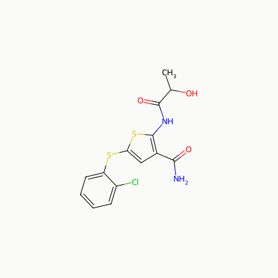 CC(O)C(=O)Nc1sc(Sc2ccccc2Cl)cc1C(N)=O